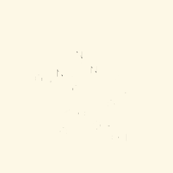 COc1ccc(C(=O)N(CCC(C)C)Cc2nc(C)c(C)n2Cc2ccccc2OCC(=O)O)c(Cl)c1OC